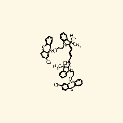 CC1(C)C(/C=C/C=C/C=C2\N(CCON3c4ccccc4Sc4ccc(Cl)cc43)c3ccccc3C2(C)C)=[N+](CCON2c3ccccc3Sc3ccc(Cl)cc32)c2ccccc21